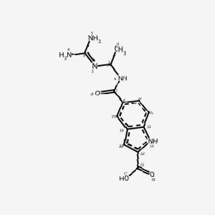 CC(N=C(N)N)NC(=O)c1ccc2[nH]c(C(=O)O)cc2c1